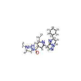 CCNC(C)CNC(=O)c1cc(CC)nc(-c2cnn3ccc(-c4ccccc4)nc23)c1